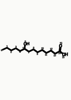 CCCCCC(O)CCCCCCCC(=O)O